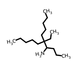 CCCCCC(CC)(CCCCC)C(N)CCC